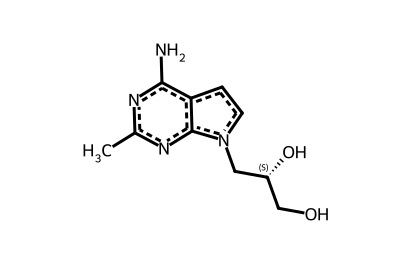 Cc1nc(N)c2ccn(C[C@H](O)CO)c2n1